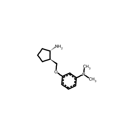 CN(C)c1cccc(OC[C@H]2CCC[C@@H]2N)c1